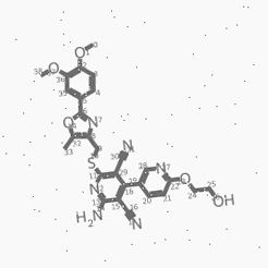 COc1ccc(-c2nc(CSc3nc(N)c(C#N)c(-c4ccc(OCCO)nc4)c3C#N)c(C)o2)cc1OC